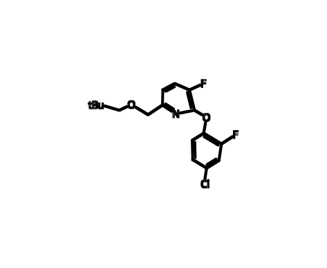 CC(C)(C)COCc1ccc(F)c(Oc2ccc(Cl)cc2F)n1